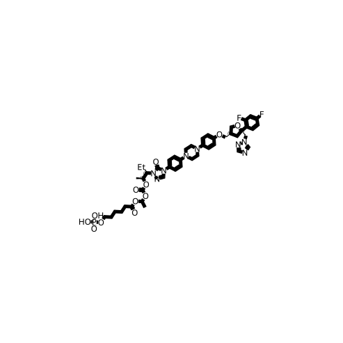 CC[C@@H]([C@H](C)OC(=O)OC(C)OC(=O)CCCCCOP(=O)(O)O)n1ncn(-c2ccc(N3CCN(c4ccc(OC[C@@H]5CO[C@@](Cn6cncn6)(c6ccc(F)cc6F)C5)cc4)CC3)cc2)c1=O